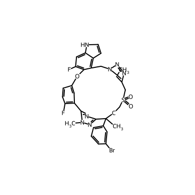 Cc1c2nnn1Cc1c(c(F)cc3[nH]ccc13)Oc1ccc(F)c(c1)-c1nc(nn1C)C(C)(c1cccc(Br)c1)CCS(=O)(=O)C2